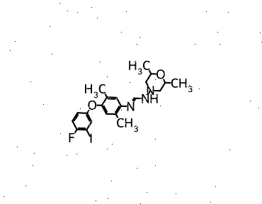 Cc1cc(Oc2ccc(F)c(I)c2)c(C)cc1N=CNN1CC(C)OC(C)C1